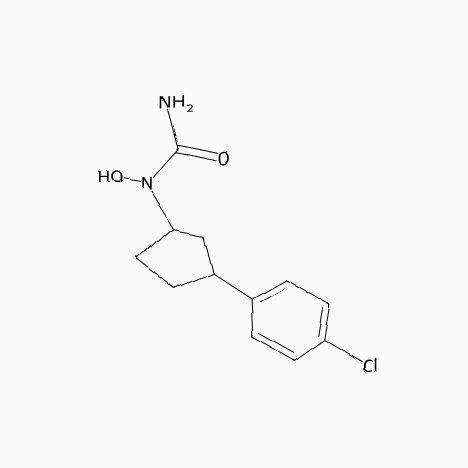 NC(=O)N(O)C1CCC(c2ccc(Cl)cc2)C1